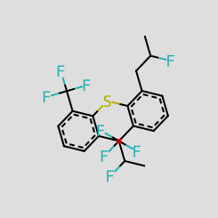 CC(F)Cc1cccc(C(F)(F)F)c1Sc1c(CC(C)F)cccc1C(F)(F)F